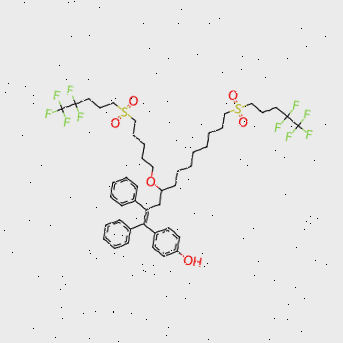 O=S(=O)(CCCCCCCCC(CC(=C(c1ccccc1)c1ccc(O)cc1)c1ccccc1)OCCCCCS(=O)(=O)CCCC(F)(F)C(F)(F)F)CCCC(F)(F)C(F)(F)F